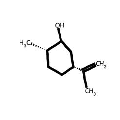 C=C(C)[C@@H]1CC[C@H](C)C(O)C1